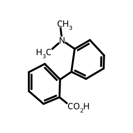 CN(C)c1ccccc1-c1ccccc1C(=O)O